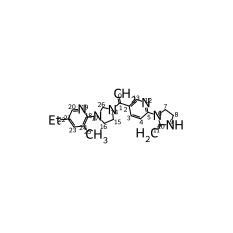 C=C(c1ccc(N2CCNC2=C)nc1)N1CCN(c2ncc(CC)cc2C)C1